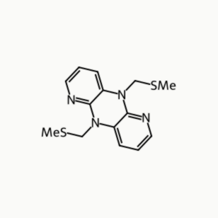 CSCN1c2cccnc2N(CSC)c2cccnc21